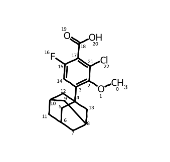 COc1c(C23CC4CC(CC(C4)C2)C3)cc(F)c(C(=O)O)c1Cl